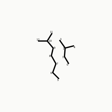 CCC(C)C.CCCCCC(C)C